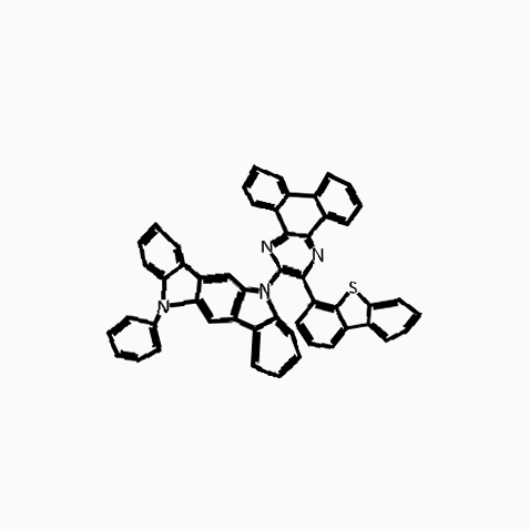 c1ccc(-n2c3ccccc3c3cc4c(cc32)c2ccccc2n4-c2nc3c4ccccc4c4ccccc4c3nc2-c2cccc3c2sc2ccccc23)cc1